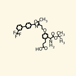 Cc1oc(-c2ccc(-c3cccc(C(F)(F)F)c3)cc2)nc1CCOc1ccc(CCC(=O)O)c(C(N)C(=O)OC(C)C)c1